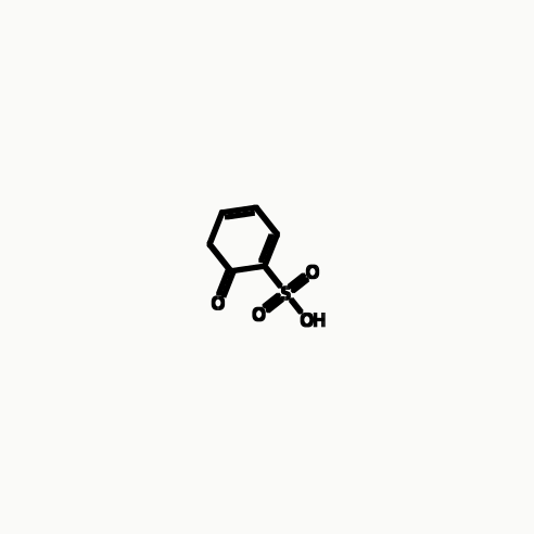 O=C1CC=CC=C1S(=O)(=O)O